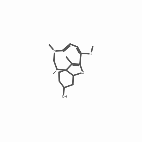 CO/C1=C/C=C/N(C)C[C@@H](C)[C@@]23CCC(O)CC2OC1=C3C